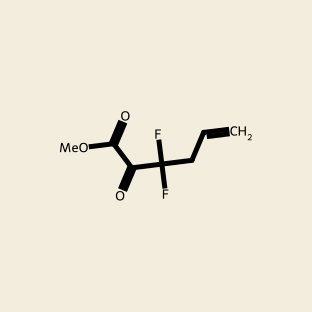 C=CCC(F)(F)C(=O)C(=O)OC